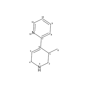 CC1CNCC=C1c1ccccn1